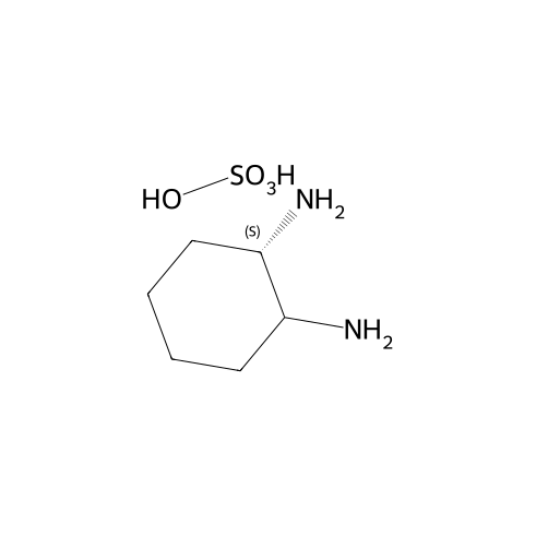 NC1CCCC[C@@H]1N.O=S(=O)(O)O